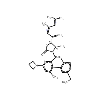 C=C(/C=C(\C=C(/C)C(F)(F)F)C(F)(F)F)[C@H]1OC(=O)N(Cc2nc(N3CCC3)cc(C)c2-c2cc(CC(=O)O)ccc2OC)[C@H]1C